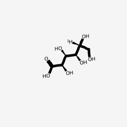 [2H][C@@](O)(CO)[C@@H](O)[C@H](O)[C@@H](O)C(=O)O